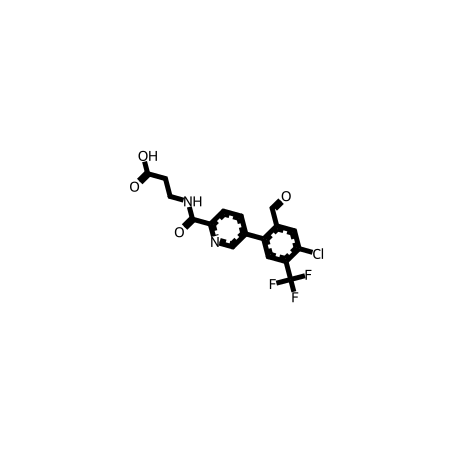 O=Cc1cc(Cl)c(C(F)(F)F)cc1-c1ccc(C(=O)NCCC(=O)O)nc1